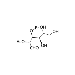 CC(=O)O[C@@H](C=O)[C@@H](OBr)[C@H](O)[C@H](O)CO